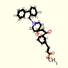 COC(=O)/C=C/c1ccc2c(c1)C(=O)CC1(CCN(Cc3ccccc3-c3ccccc3)CC1)O2